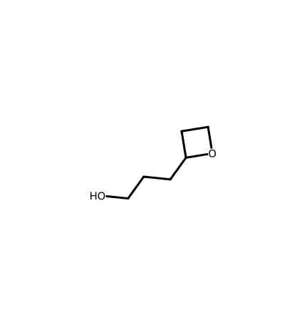 OCCCC1CCO1